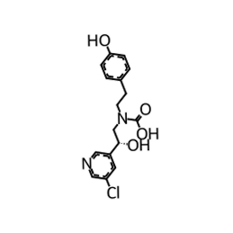 O=C(O)N(CCc1ccc(O)cc1)C[C@H](O)c1cncc(Cl)c1